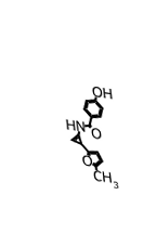 Cc1ccc(C2C=C2NC(=O)c2ccc(O)cc2)o1